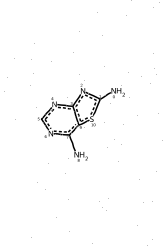 Nc1nc2ncnc(N)c2s1